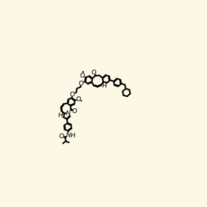 COc1cc2c(cc1OCCCOc1cc3c(cc1OC)C(=O)N1C=C(c4ccc(NC(=O)C(C)C)cc4)C[C@H]1C=C=C3)C=C=C[C@@H]1CC(c3ccc(CC4CCCCC4)cc3)=CC=C1CC2=O